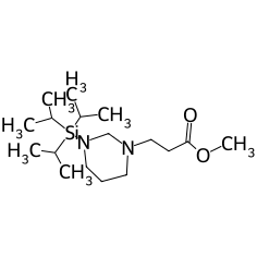 COC(=O)CCN1CCCN([Si](C(C)C)(C(C)C)C(C)C)C1